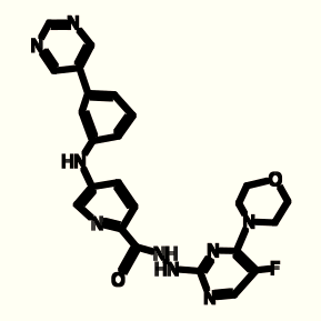 O=C(NNc1ncc(F)c(N2CCOCC2)n1)c1ccc(Nc2cccc(-c3cncnc3)c2)cn1